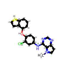 Cn1ccc2ncnc(Nc3ccc(Oc4cccc5sccc45)c(Cl)c3)c21